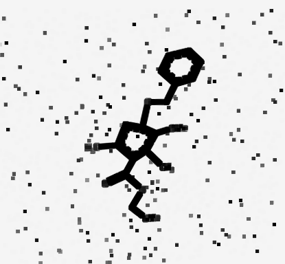 COCOC(=O)c1c(C)cc(OCc2ccccc2)c(OC)c1C